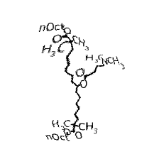 CCCCCCCCOC(=O)C(C)(C)CCCCCCC(CCCCCCC(C)(C)C(=O)OCCCCCCCC)OC(=O)CCCN(C)C